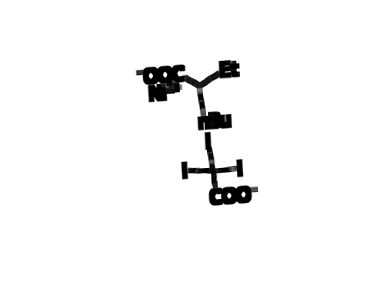 CCCCC(CC)C(=O)[O-].O=C([O-])C(I)(I)I.[Ni+2]